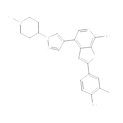 CC(=O)N1CCC(n2cc(-c3cnc(N)c4oc(-c5ccc(N)c(C)c5)cc34)cn2)CC1